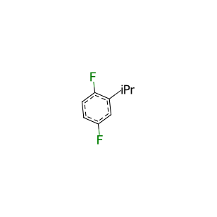 CC(C)c1cc(F)ccc1F